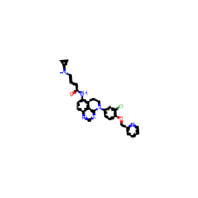 O=C(/C=C/CNC1CC1)Nc1ccc2ncnc3c2c1CCN3c1ccc(OCc2ccccn2)c(Cl)c1